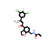 C=CC(=O)NCc1ccc(C(=O)/C=C(/c2cc(Cl)c(F)c(Cl)c2)C(F)(F)F)c2c1OCC2